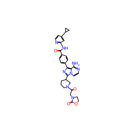 Nc1nccn2c(C3CCCN(C(=O)CN4CCOC4=O)C3)nc(-c3ccc(C(=O)Nc4cc(C5CC5)ccn4)cc3)c12